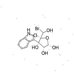 OC(Br)[C@@]1(Cl)O[C@H](O)[C@H](O)[C@@]1(O)c1c[nH]c2ccccc12